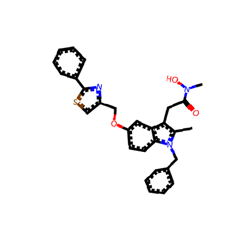 Cc1c(CC(=O)N(C)O)c2cc(OCc3csc(-c4ccccc4)n3)ccc2n1Cc1ccccc1